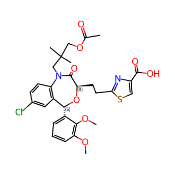 COc1cccc([C@H]2O[C@H](CCc3nc(C(=O)O)cs3)C(=O)N(CC(C)(C)COC(C)=O)c3ccc(Cl)cc32)c1OC